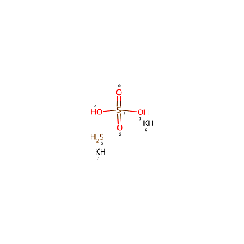 O=S(=O)(O)O.S.[KH].[KH]